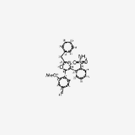 COc1cc(F)ccc1-c1oc(Cc2ccccc2)nc1-c1ccccc1S(N)(=O)=O